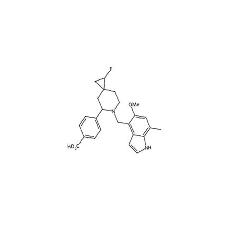 COc1cc(C)c2[nH]ccc2c1CN1CCC2(CC1c1ccc(C(=O)O)cc1)CC2F